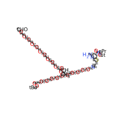 CCCN(OCC)C(=O)C1=Cc2sc(CC3CN(CCOCCOCCOCCOCCOC(COCCOCCOCCOCCOCCC(=O)OC(C)(C)C)CC(C)(C)OC(=O)CCOCCOCCOCCOCCOCCOCCOCCOCCOCCOCC=O)C3)cc2N=C(N)C1